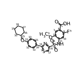 COc1cc(C(=O)O)c(F)cc1NS(=O)(=O)c1csc(-c2ccc(OC3CCCCC3)cc2)n1